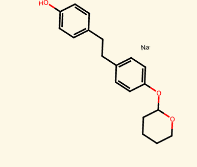 Oc1ccc(CCc2ccc(OC3CCCCO3)cc2)cc1.[Na]